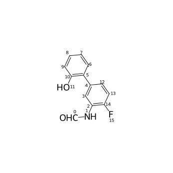 O=CNc1cc(-c2[c]cccc2O)ccc1F